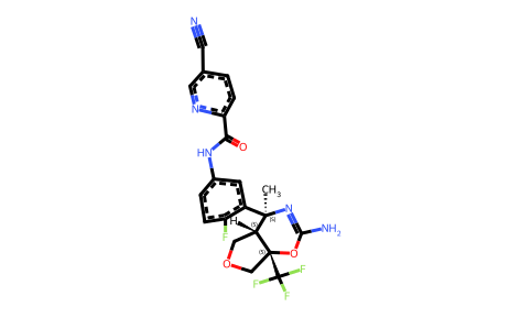 C[C@]1(c2cc(NC(=O)c3ccc(C#N)cn3)ccc2F)N=C(N)O[C@]2(C(F)(F)F)COC[C@H]12